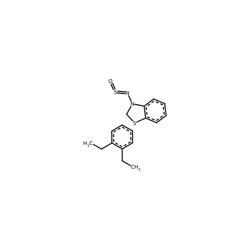 CCc1ccccc1CC.O=S=NN1CSc2ccccc21